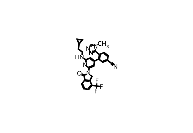 Cn1cnnc1-c1ccc(C#N)cc1-c1cc(NCCC2CC2)nc(N2Cc3c(cccc3C(F)(F)F)C2=O)c1